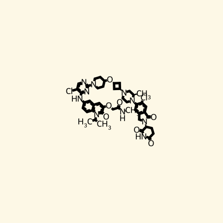 CNC(=O)COc1cc2cc(Nc3nc(N4CCC(O[C@H]5C[C@H](N6CCN(c7cc8c(cc7Cl)C(=O)N([C@H]7CCC(=O)NC7=O)C8)[C@H](C)C6)C5)CC4)ncc3Cl)ccc2n(C(C)C)c1=O